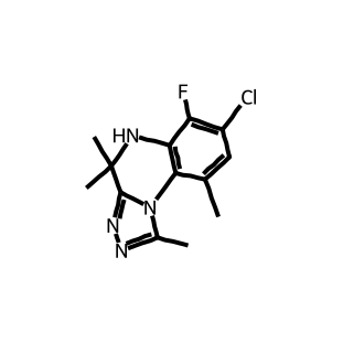 Cc1cc(Cl)c(F)c2c1-n1c(C)nnc1C(C)(C)N2